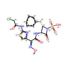 CO/N=C(\C(=O)N[C@@H]1C(=O)N(S(=O)(=O)O)[C@H]1Sc1ccccc1)c1csc(NC(=O)CCl)n1